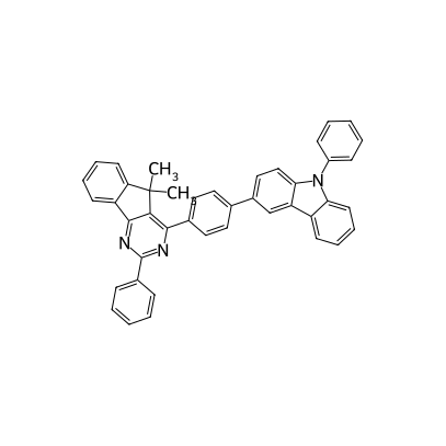 CC1(C)c2ccccc2-c2nc(-c3ccccc3)nc(-c3ccc(-c4ccc5c(c4)c4ccccc4n5-c4ccccc4)cc3)c21